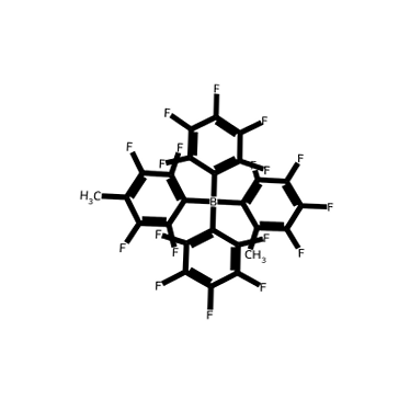 Cc1c(F)c(F)c([B-](c2c(C)c(F)c(F)c(F)c2F)(c2c(F)c(F)c(F)c(F)c2F)c2c(F)c(F)c(F)c(F)c2F)c(F)c1F